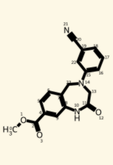 COC(=O)c1ccc2c(c1)NC(=O)CN(c1cccc(C#N)c1)C2